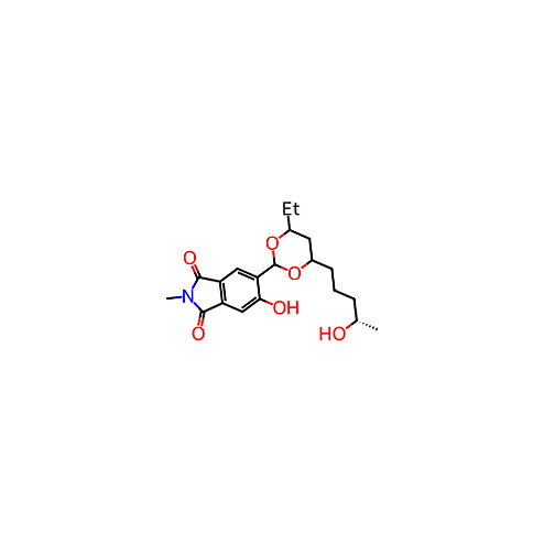 CCC1CC(CCC[C@H](C)O)OC(c2cc3c(cc2O)C(=O)N(C)C3=O)O1